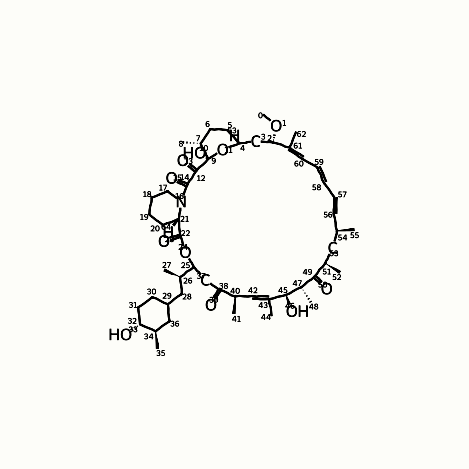 CO[C@H]1C[C@@H]2CC[C@@H](C)[C@@](O)(O2)C(=O)C(=O)N2CCCC[C@H]2C(=O)OC([C@H](C)CC2CC[C@@H](O)[C@H](C)C2)CC(=O)[C@H](C)/C=C(\C)[C@H](O)[C@@H](C)C(=O)[C@H](C)C[C@H](C)/C=C/C=C/C=C/1C